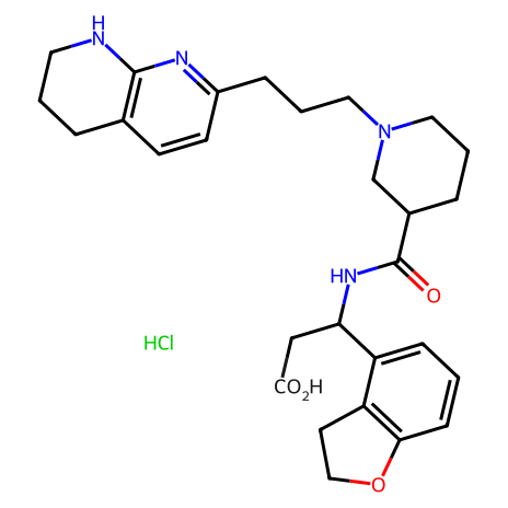 Cl.O=C(O)CC(NC(=O)C1CCCN(CCCc2ccc3c(n2)NCCC3)C1)c1cccc2c1CCO2